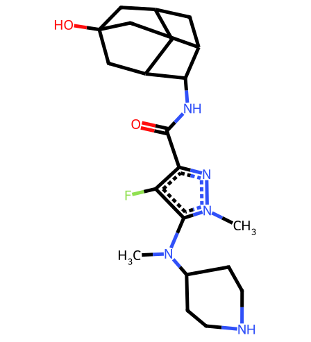 CN(c1c(F)c(C(=O)NC2C3CC4CC2CC(O)(C4)C3)nn1C)C1CCNCC1